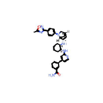 Cc1nc(-c2ccc(N3C[C@@H]4C[C@H](N[C@@H]5CCCC[C@H]5Nc5cc(-c6cccc(C(N)=O)c6)ccn5)[C@H]3C4)cc2)no1